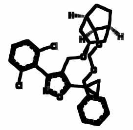 Clc1cccc(Cl)c1-c1noc(C2CC2)c1CO[C@H]1C[C@H]2CC[C@@H](C1)[C@H]2OCOCc1ccccc1